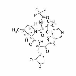 C[C@H]1C[C@@H]2C[C@H]1[C@@H](C(=O)N[C@@H](C[C@@H]1CCNC1=O)C(=O)c1nc3cnccc3s1)N2C(=O)[C@@H](NC(=O)C(F)(F)F)C(C)(C)C